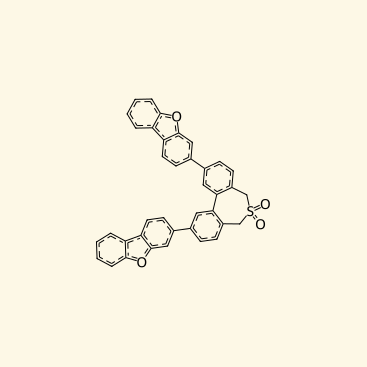 O=S1(=O)Cc2ccc(-c3ccc4c(c3)oc3ccccc34)cc2-c2cc(-c3ccc4c(c3)oc3ccccc34)ccc2C1